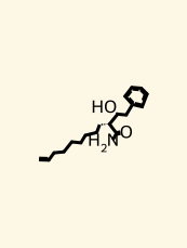 C=CCCCCCCC[C@@H](C(N)=O)[C@H](O)Cc1ccccc1